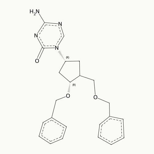 Nc1ncn([C@@H]2CC(COCc3ccccc3)[C@H](OCc3ccccc3)C2)c(=O)n1